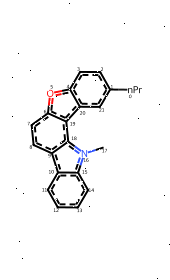 CCCc1ccc2oc3ccc4c5ccccc5n(C)c4c3c2c1